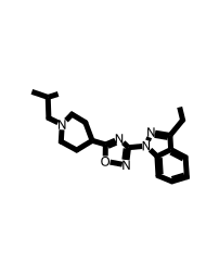 CCc1nn(-c2noc(C3CCN(CC(C)C)CC3)n2)c2ccccc12